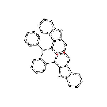 c1ccc(N(c2ccccc2-c2cccc3c2sc2ccccc23)c2cccc3oc4ccccc4c23)cc1